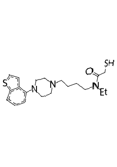 CCN(CCCCN1CCN(c2cccc3sccc23)CC1)C(=O)CS